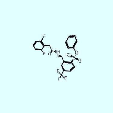 O=C(Cc1c(F)cccc1F)NN=Cc1cc(C(F)(F)F)ccc1S(=O)(=O)Oc1ccccc1